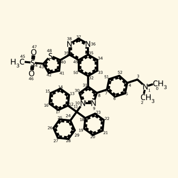 CN(C)Cc1ccc(-c2nn(C(c3ccccc3)(c3ccccc3)c3ccccc3)cc2-c2ccc3ncnc(-c4ccc(S(C)(=O)=O)s4)c3c2)cc1